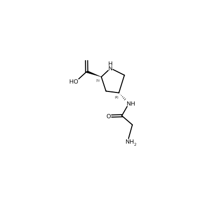 C=C(O)[C@@H]1C[C@@H](NC(=O)CN)CN1